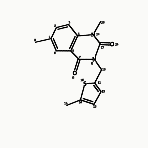 Cc1ccc2c(c1)c(=O)n(Cc1ccc(C)s1)c(=O)n2C